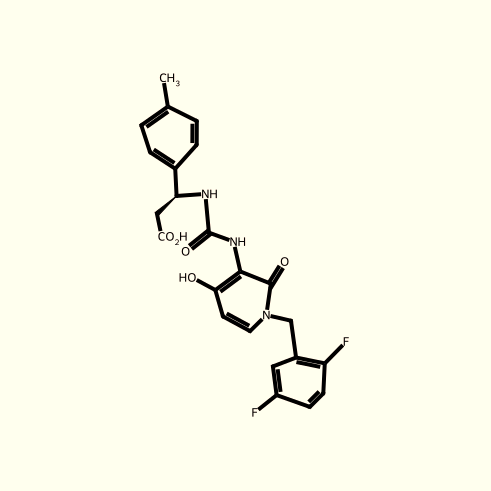 Cc1ccc([C@H](CC(=O)O)NC(=O)Nc2c(O)ccn(Cc3cc(F)ccc3F)c2=O)cc1